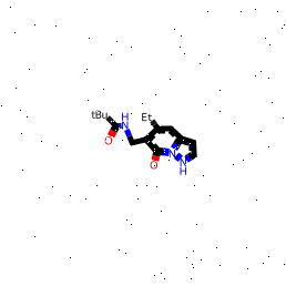 CCc1cc2cc[nH]n2c(=O)c1CNC(=O)C(C)(C)C